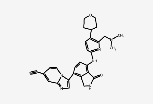 CN(C)Cc1nc(Nc2ccc(-c3cnc4cc(C#N)ccn34)c3c2C(=O)NC3)ccc1C1CCOCC1